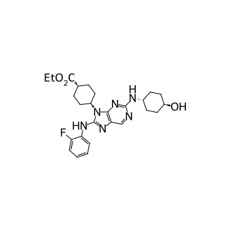 CCOC(=O)[C@H]1CC[C@@H](n2c(Nc3ccccc3F)nc3cnc(N[C@H]4CC[C@H](O)CC4)nc32)CC1